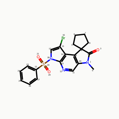 CN1C(=O)C2(CCCC2)c2c1cnc1c2c(Br)cn1S(=O)(=O)c1ccccc1